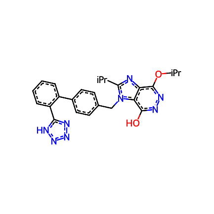 CC(C)Oc1nnc(O)c2c1nc(C(C)C)n2Cc1ccc(-c2ccccc2-c2nnn[nH]2)cc1